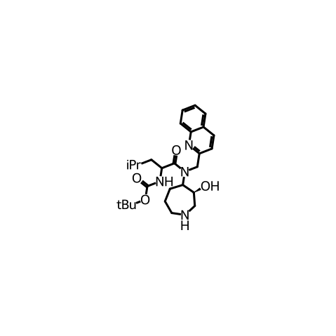 CC(C)CC(NC(=O)OC(C)(C)C)C(=O)N(Cc1ccc2ccccc2n1)C1CCCNC[C@@H]1O